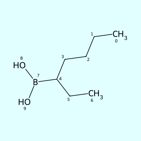 CCCCC(CC)B(O)O